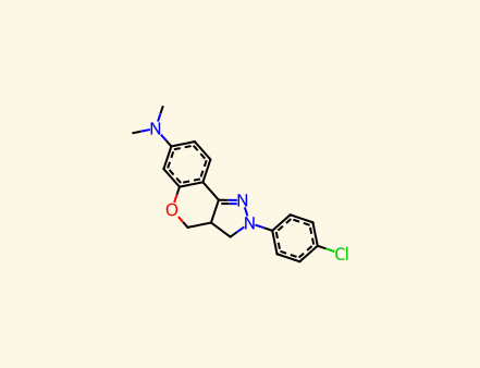 CN(C)c1ccc2c(c1)OCC1CN(c3ccc(Cl)cc3)N=C21